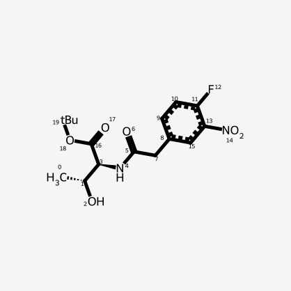 C[C@@H](O)[C@H](NC(=O)Cc1ccc(F)c([N+](=O)[O-])c1)C(=O)OC(C)(C)C